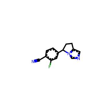 N#Cc1ccc(C2CCc3cncn32)cc1F